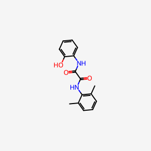 Cc1cccc(C)c1NC(=O)C(=O)Nc1ccccc1O